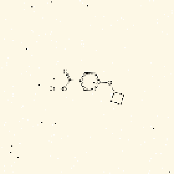 O=C(OBr)c1ccc(OC2CCC2)cc1